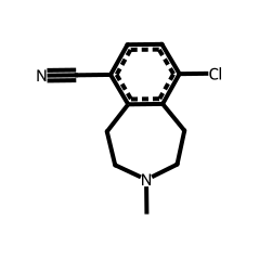 CN1CCc2c(Cl)ccc(C#N)c2CC1